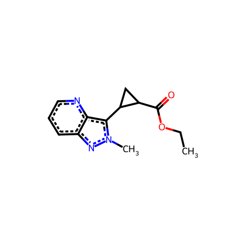 CCOC(=O)C1CC1c1c2ncccc2nn1C